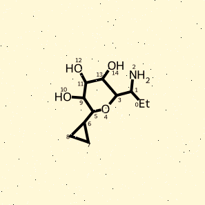 CCC(N)C1OC(C2CC2)C(O)C(O)C1O